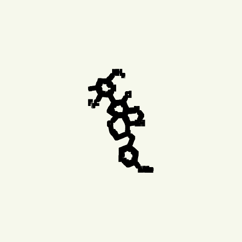 CNc1cncc(CN2C=COc3cc(-c4nc(N)cc(C)c4C(F)(F)F)c(Cl)c4c3=C2NCN=4)c1